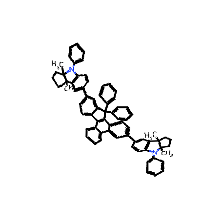 CC12CCCC1(C)N(c1ccccc1)c1ccc(-c3ccc4c(c3)C(c3ccccc3)(c3ccccc3)c3c-4c4ccccc4c4cc(-c5ccc6c(c5)C5(C)CCCC5(C)N6c5ccccc5)ccc34)cc12